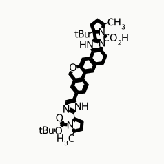 C[C@H]1CC[C@@H](c2ncc(-c3ccc4c(c3)COc3cc5c(cc3-4)CCc3nc([C@@]4(C(C)(C)C)CC[C@H](C)N4C(=O)O)[nH]c3-5)[nH]2)N1C(=O)OC(C)(C)C